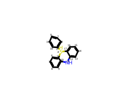 c1ccc([SH]2c3ccccc3Nc3ccccc32)cc1